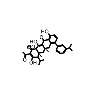 CC(=O)C1=C(O)C(C(C)C)[C@@]2(C)C[C@@]3(C)Cc4c(-c5cccc(C(C)C)c5)ccc(O)c4C(=O)C3=C(O)[C@@]2(O)C1=O